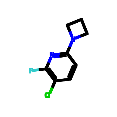 Fc1nc(N2CCC2)ccc1Cl